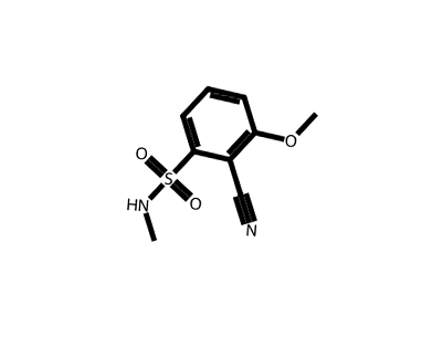 CNS(=O)(=O)c1cccc(OC)c1C#N